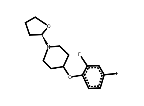 Fc1ccc(OC2CCN([C@H]3[CH]CCO3)CC2)c(F)c1